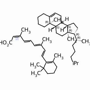 CC(C)CCC[C@@H](C)[C@H]1CC[C@H]2[C@@H]3CC=C4CCCC[C@]4(C)[C@H]3CC[C@]12C.CC(C=CC1=C(C)CCCC1(C)C)=CC=C/C(C)=C\C(=O)O